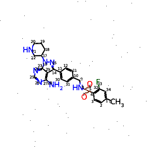 Cc1ccc(S(=O)(=O)NCc2ccc(-c3nn(C4CCCNC4)c4ncnc(N)c34)cc2)c(F)c1